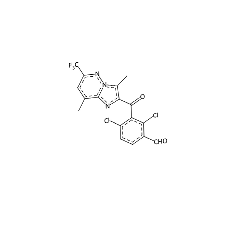 Cc1cc(C(F)(F)F)nn2c(C)c(C(=O)c3c(Cl)ccc(C=O)c3Cl)nc12